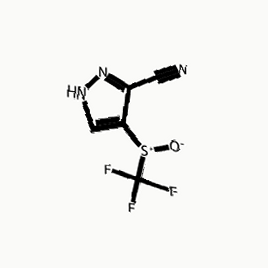 N#Cc1n[nH]cc1[S+]([O-])C(F)(F)F